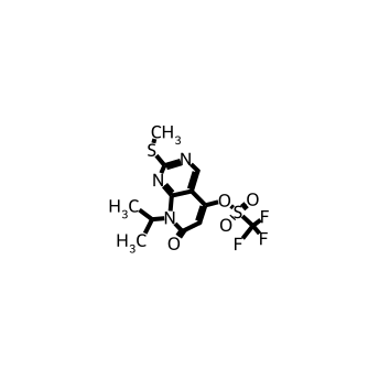 CSc1ncc2c(OS(=O)(=O)C(F)(F)F)cc(=O)n(C(C)C)c2n1